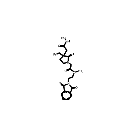 CC(C)CC1(CC(=O)NO)CCN(CC(=O)N(C)CCN2C(=O)c3ccccc3C2=O)C1=O